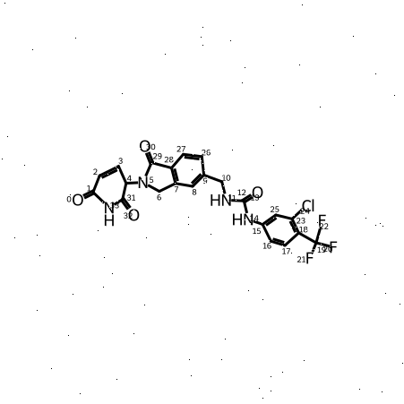 O=C1C=CC(N2Cc3cc(CNC(=O)Nc4ccc(C(F)(F)F)c(Cl)c4)ccc3C2=O)C(=O)N1